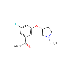 COC(=O)c1cc(F)cc(O[C@@H]2CCN(C(=O)O)C2)c1